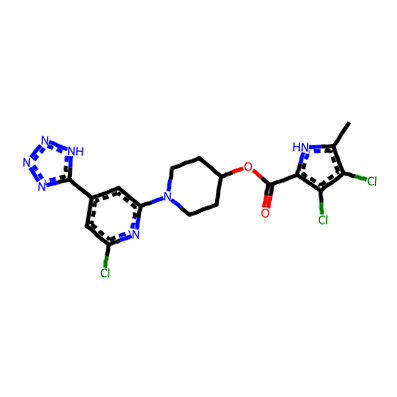 Cc1[nH]c(C(=O)OC2CCN(c3cc(-c4nnn[nH]4)cc(Cl)n3)CC2)c(Cl)c1Cl